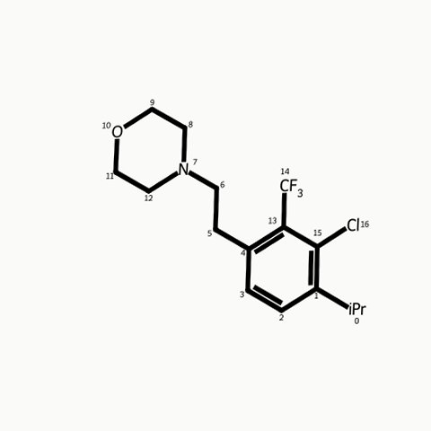 CC(C)c1ccc(CCN2CCOCC2)c(C(F)(F)F)c1Cl